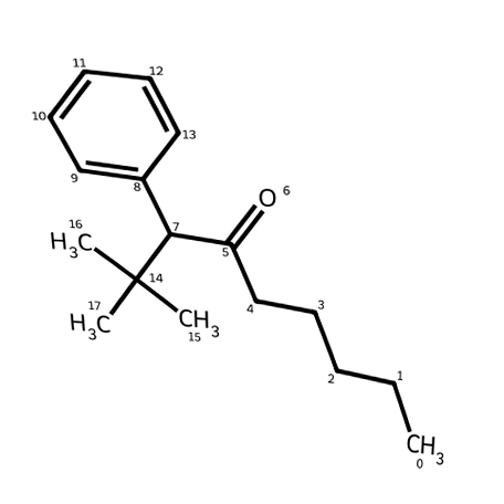 CCCCCC(=O)C(c1ccccc1)C(C)(C)C